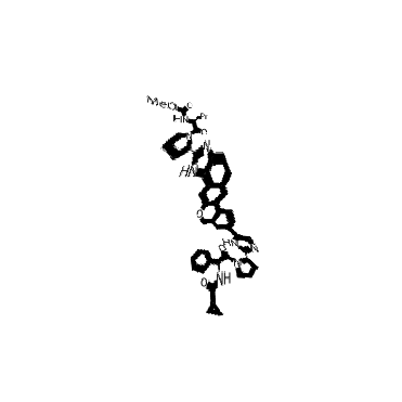 COC(=O)N[C@H](C(=O)N1CCC[C@H]1c1nc2ccc3cc4c(cc3c2[nH]1)OCc1cc(-c2cnc([C@@H]3CCCN3C(=O)[C@H](NC(=O)C3CC3)c3ccccc3)[nH]2)ccc1-4)C(C)C